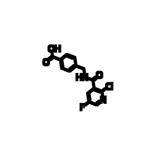 O=C(O)c1ccc(CNC(=O)c2cc(F)cnc2Cl)cc1